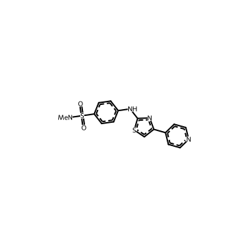 CNS(=O)(=O)c1ccc(Nc2nc(-c3ccncc3)cs2)cc1